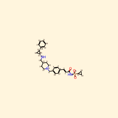 O=C(C=Cc1ccc(CN2CCC(CN[C@@H]3C[C@H]3c3ccccc3)CC2)cc1)NS(=O)(=O)C1CC1